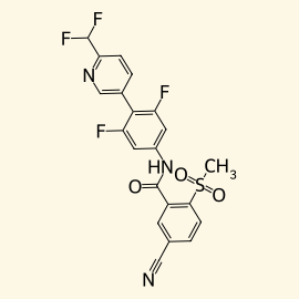 CS(=O)(=O)c1ccc(C#N)cc1C(=O)Nc1cc(F)c(-c2ccc(C(F)F)nc2)c(F)c1